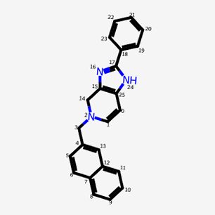 C1=CN(Cc2ccc3ccccc3c2)Cc2nc(-c3ccccc3)[nH]c21